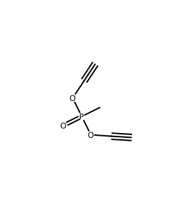 C#COP(C)(=O)OC#C